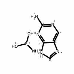 NP(O)O.Nc1ncc2nc[nH]c2n1